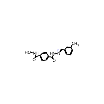 Cc1cccc(/C=N/NC(=O)c2ccc(C(=O)NO)cc2)c1